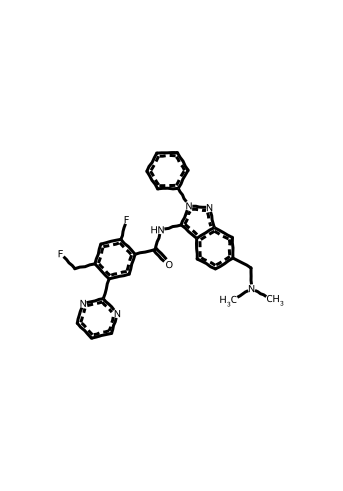 CN(C)Cc1ccc2c(NC(=O)c3cc(-c4ncccn4)c(CF)cc3F)n(-c3ccccc3)nc2c1